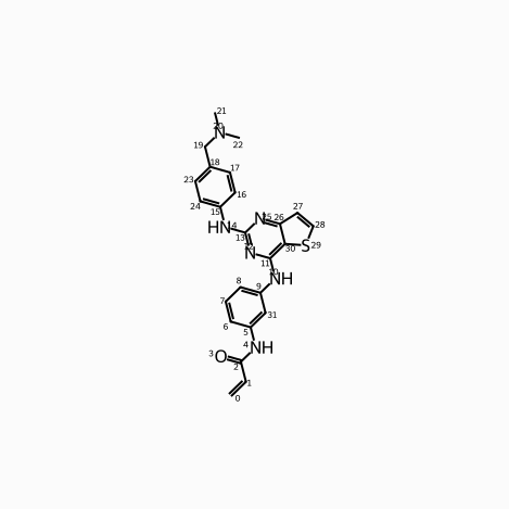 C=CC(=O)Nc1cccc(Nc2nc(Nc3ccc(CN(C)C)cc3)nc3ccsc23)c1